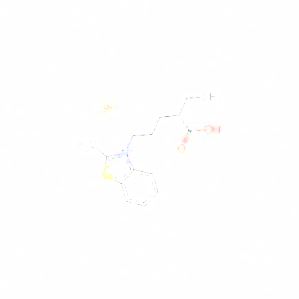 CCC(CCC[n+]1c(C)sc2ccccc21)C(=O)O.[Br-]